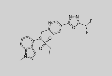 CCS(=O)(=O)N(Cc1ccc(-c2nnc(C(F)F)o2)cn1)c1cccc2c1cnn2C